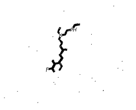 CCPCCN(CC)CCC/C(C)=C/C=C(CC)\C(C)=C(/C)F